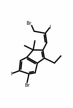 CCC1=C(/C=C(/I)CBr)C(C)(C)c2cc(I)c(Br)cc21